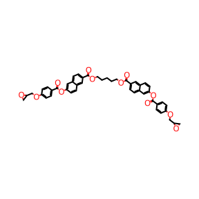 O=C(OCCCCCOC(=O)c1ccc2cc(OC(=O)c3ccc(OCC4CO4)cc3)ccc2c1)c1ccc2cc(OC(=O)c3ccc(OCC4CO4)cc3)ccc2c1